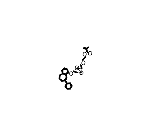 C=C(C)C(=O)OCCOCCS(=O)(=O)CCOc1cccc2c1C=C(c1ccccc1)CCC2